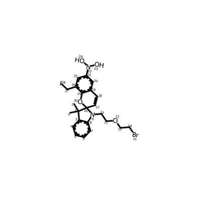 CC1(C)c2ccccc2N(CCOCCBr)C12C=Cc1cc(N(O)O)cc(CI)c1O2